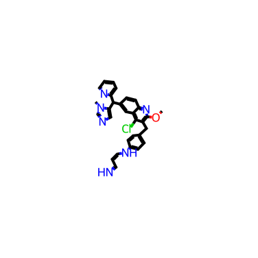 COc1nc2ccc(C(c3ccccn3)c3cncn3C)cc2c(Cl)c1Cc1ccc(N/C=C\C=N)cc1